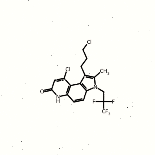 Cc1c(CCCCl)c2c3c(Cl)cc(=O)[nH]c3ccc2n1CC(F)(F)C(F)(F)F